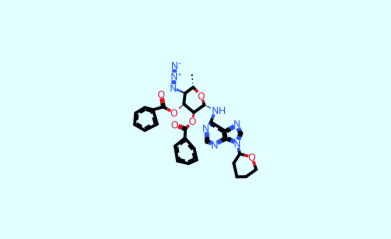 C[C@@H]1O[C@H](Nc2ncnc3c2ncn3C2CCCCO2)[C@@H](OC(=O)c2ccccc2)[C@H](OC(=O)c2ccccc2)[C@H]1N=[N+]=[N-]